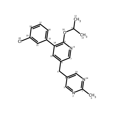 Cc1ncc(Cc2cnc(OC(C)C)c(-c3cccc(Cl)c3)c2)cn1